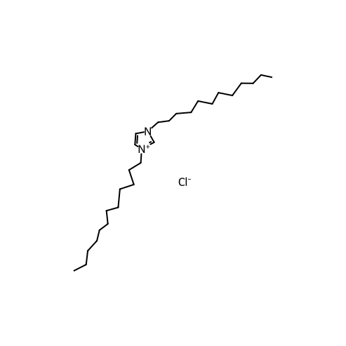 CCCCCCCCCCCCn1cc[n+](CCCCCCCCCCCC)c1.[Cl-]